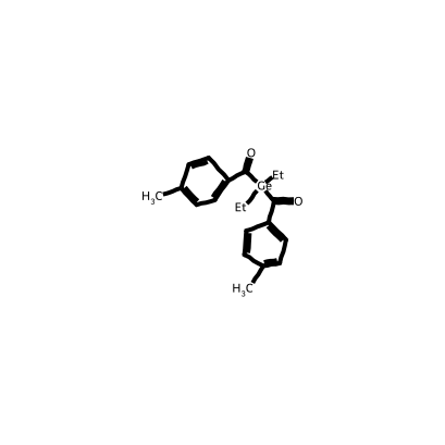 C[CH2][Ge]([CH2]C)([C](=O)c1ccc(C)cc1)[C](=O)c1ccc(C)cc1